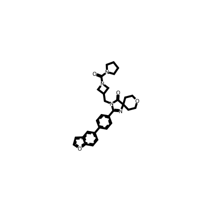 O=C(N1CCCC1)N1CC(CN2C(=O)C3(CCOCC3)N=C2c2ccc(-c3ccc4occc4c3)cc2)C1